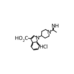 CC(=N)N1CCC(n2cc(C(=O)O)c3ccccc32)CC1.Cl